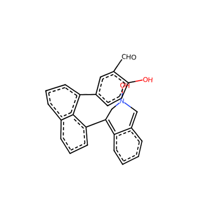 O=Cc1cc(-c2cccc3cccc(C4=c5ccccc5=CN(O)C4)c23)ccc1O